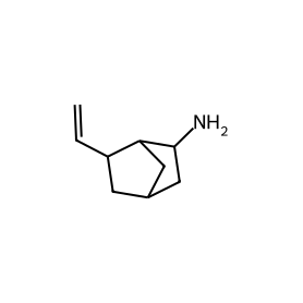 C=CC1CC2CC(N)C1C2